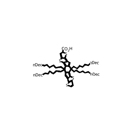 CCCCCCCCCCCCCCCCC1(CCCCCCCCCCCCCCCC)C2=Cc3c4c(sc3=C2C(CCCCCCCCCCCCCCCC)(CCCCCCCCCCCCCCCC)C2C=c3c(sc5ccsc35)=C21)=CC(C(=O)O)S4